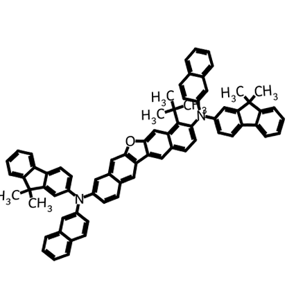 CC(C)(C)c1c(N(c2ccc3c(c2)C(C)(C)c2ccccc2-3)c2ccc3ccccc3c2)ccc2cc3c(cc12)oc1cc2cc(N(c4ccc5c(c4)C(C)(C)c4ccccc4-5)c4ccc5ccccc5c4)ccc2cc13